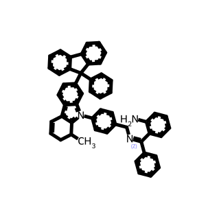 CC1CC=Cc2c1n(-c1ccc(C/N=C(/c3ccccc3)c3ccccc3N)cc1)c1cc(C3(c4ccccc4)c4ccccc4-c4ccccc43)ccc21